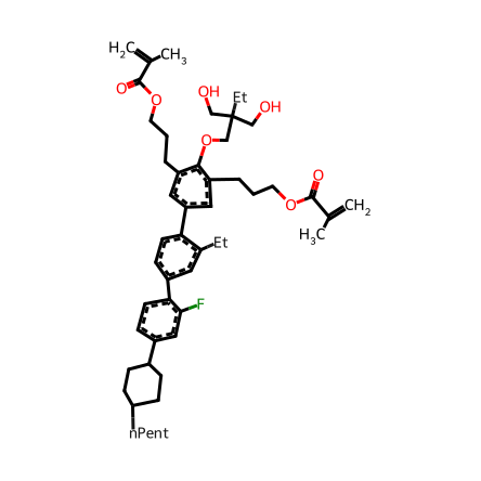 C=C(C)C(=O)OCCCc1cc(-c2ccc(-c3ccc(C4CCC(CCCCC)CC4)cc3F)cc2CC)cc(CCCOC(=O)C(=C)C)c1OCC(CC)(CO)CO